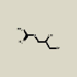 C=C(OCC(O)CO)C(=O)O